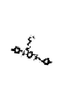 CCCCOC(=O)N1C[C@@H](NC(=O)COc2ccc(Cl)c(F)c2)CC[C@@H]1C(=O)Nc1ccc(Cl)cc1